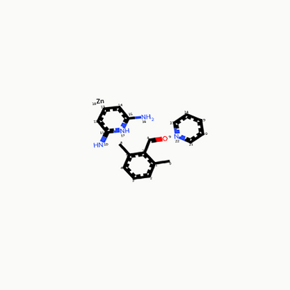 Cc1cccc(C)c1C=O.N=c1cccc(N)[nH]1.[Zn].c1ccncc1